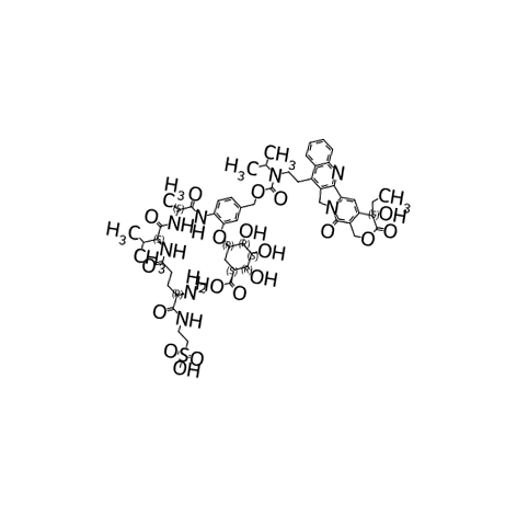 CC[C@@]1(O)C(=O)OCc2c1cc1n(c2=O)Cc2c-1nc1ccccc1c2CCN(C(=O)OCc1ccc(NC(=O)[C@H](C)NC(=O)[C@@H](NC(=O)CC[C@@H](N)C(=O)NCCS(=O)(=O)O)C(C)C)c(O[C@@H]2C[C@H](C(=O)O)[C@@H](O)[C@H](O)[C@H]2O)c1)C(C)C